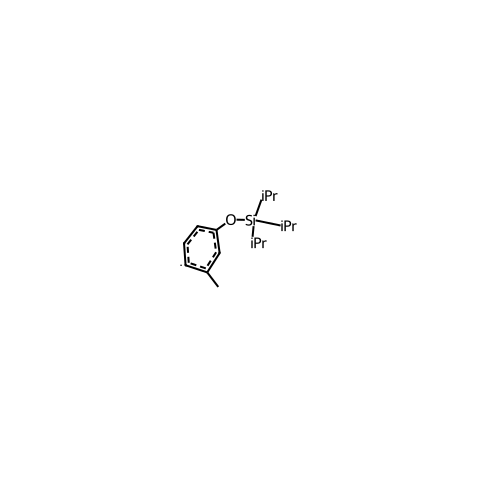 Cc1[c]ccc(O[Si](C(C)C)(C(C)C)C(C)C)c1